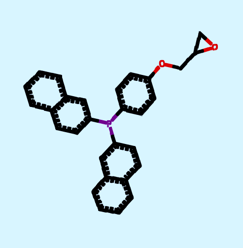 c1ccc2cc(P(c3ccc(OCC4CO4)cc3)c3ccc4ccccc4c3)ccc2c1